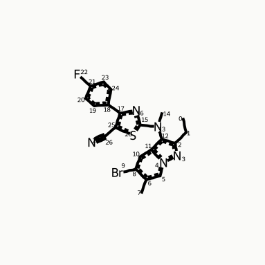 CCc1nn2cc(C)c(Br)cc2c1N(C)c1nc(-c2ccc(F)cc2)c(C#N)s1